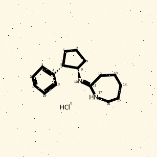 Cl.c1ccc([C@@H]2CCC[C@H]2N=C2CCCCCN2)cc1